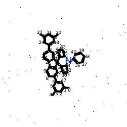 Cc1cc(C)cc(-c2ccc3c(c2)C2(c4cc(-c5cc(C)cc(C)c5)ccc4-3)c3ccccc3N(c3ccccc3)c3ccccc32)c1